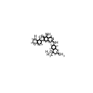 Cc1c(-c2cc3nc(Nc4ccc5c(c4)CN(C)CC5(C)C)ncc3c(N)c2F)cnc2c1NCCO2